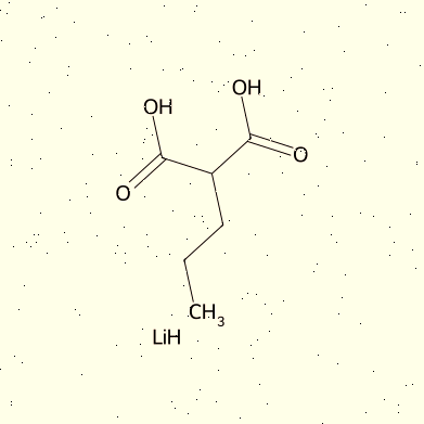 CCCC(C(=O)O)C(=O)O.[LiH]